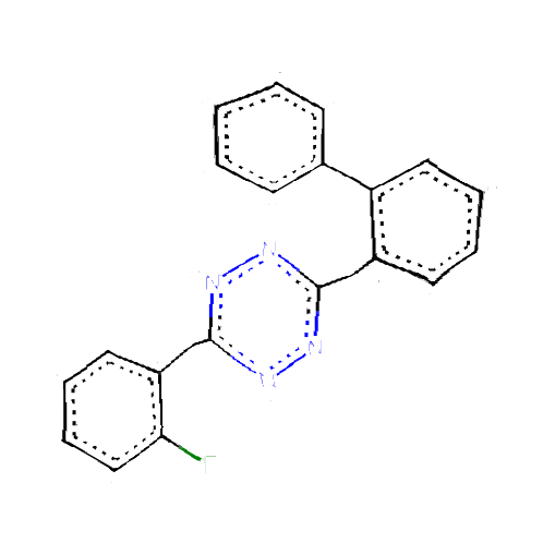 Fc1ccccc1-c1nnc(-c2ccccc2-c2ccccc2)nn1